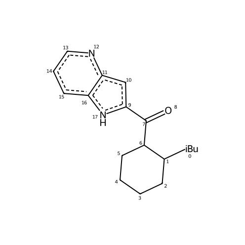 CCC(C)C1CCCCC1C(=O)c1cc2ncccc2[nH]1